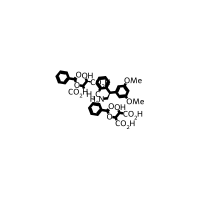 COc1cc(OC)cc([C@@H](CN)c2ccccc2C)c1.O=C(OC(C(=O)O)C(O)C(=O)O)c1ccccc1.O=C(OC(C(=O)O)[C@@H](O)C(=O)O)c1ccccc1